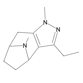 CCc1nn(C)c2c1C1CCC(C2)N1C